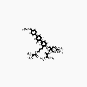 C=C(C)C(=O)OCCCc1cc(-c2ccc(C3CCC(CCCCC)CC3)cc2F)ccc1OCC1(COC(=O)C(=C)C)COC(C)(C)OC1